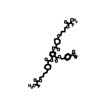 C=C(F)C(=O)OCCCCOC1CCC(C(=O)Oc2ccc(OC(=O)C3CCC(CCCCOC(=O)C(=C)F)CC3)c(C(=O)OCc3ccc([N+](=O)[O-])cc3)c2)CC1